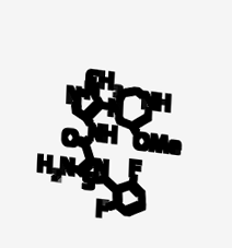 COC1CNCCN(c2c(NC(=O)c3nc(-c4c(F)cccc4F)sc3N)cnn2C)C1